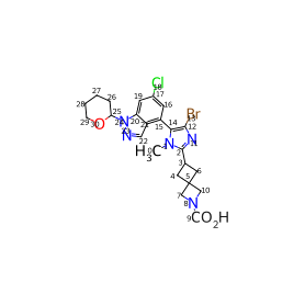 Cn1c(C2CC3(C2)CN(C(=O)O)C3)nc(Br)c1-c1cc(Cl)cc2c1cnn2C1CCCCO1